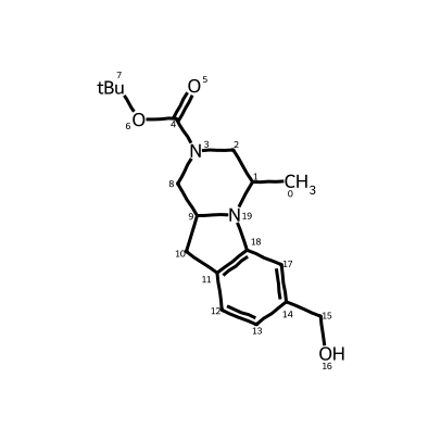 CC1CN(C(=O)OC(C)(C)C)CC2Cc3ccc(CO)cc3N12